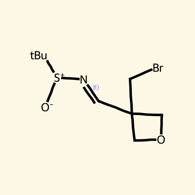 CC(C)(C)[S+]([O-])/N=C/C1(CBr)COC1